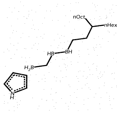 BCBBCCC(CCCCCC)CCCCCCCC.c1cc[nH]c1